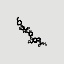 CCN1CCC(n2cc(C(=O)Nc3cc(Oc4cc5ccn(C(N)=O)c5cc4COC)ccn3)cn2)CC1